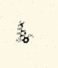 Cc1cccc(C)c1N1C=NC(NCC(F)(F)F)NC1=O